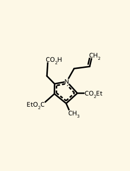 C=CCn1c(CC(=O)O)c(C(=O)OCC)c(C)c1C(=O)OCC